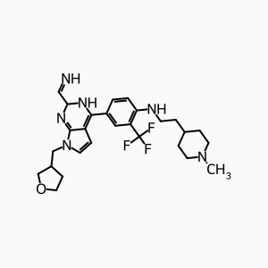 CN1CCC(CCNc2ccc(C3=c4ccn(CC5CCOC5)c4=NC(C=N)N3)cc2C(F)(F)F)CC1